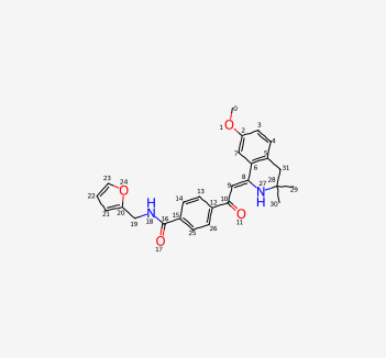 COc1ccc2c(c1)C(=CC(=O)c1ccc(C(=O)NCc3ccco3)cc1)NC(C)(C)C2